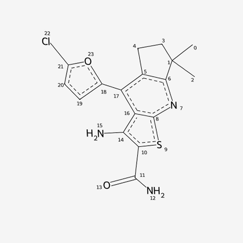 CC1(C)CCc2c1nc1sc(C(N)=O)c(N)c1c2-c1ccc(Cl)o1